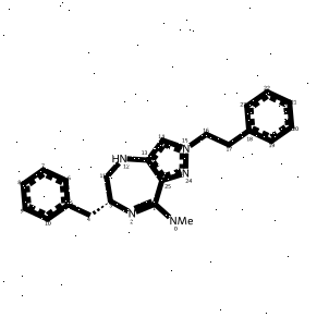 CNC1=N[C@H](Cc2ccccc2)CNc2cn(CCc3ccccc3)nc21